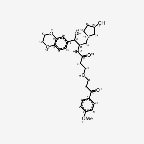 COc1ccc(C(=O)CCOCCC(=O)N[C@H](CN2CC[C@@H](O)C2)C(O)c2ccc3c(c2)OCCO3)cc1